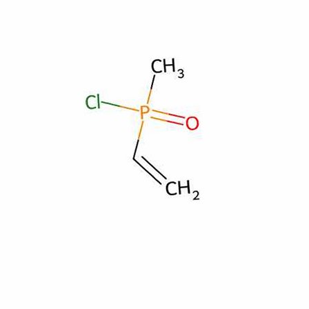 C=CP(C)(=O)Cl